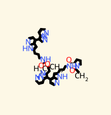 C=CC(=O)N1CCC[C@H]1C(=O)NCCCc1cc2c(-c3c(CC(C)(C)OC(=O)NCCCc4cc5c(-c6cnn7ncccc67)ccnc5[nH]4)nn4ncccc34)ccnc2[nH]1